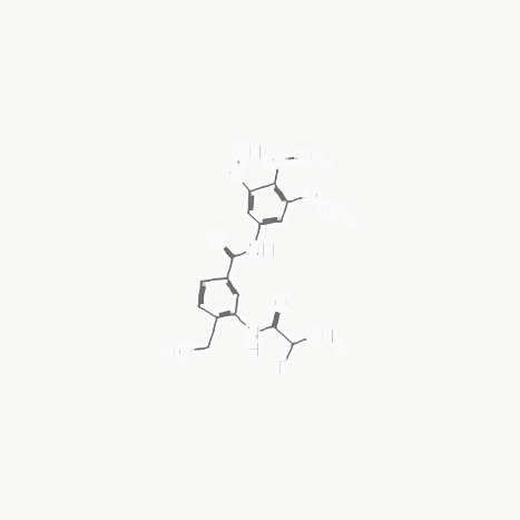 COc1cc(NC(=O)c2ccc(CO)c(NC(=O)C(C)F)c2)cc(OC)c1OC